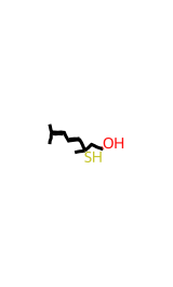 CC(C)=CC=CC(C)(S)CCO